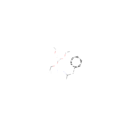 CC(N)Cc1ccccc1.CCO[SiH](OCC)OCC